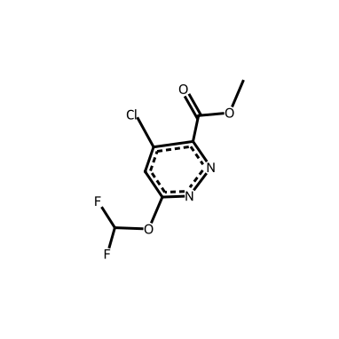 COC(=O)c1nnc(OC(F)F)cc1Cl